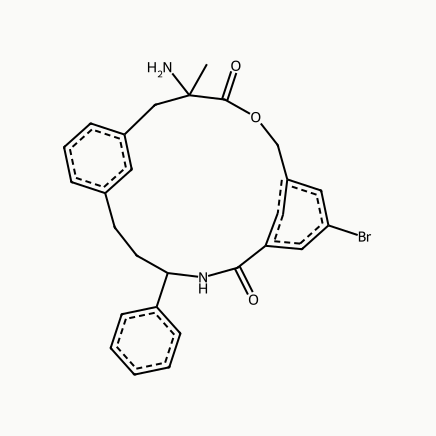 CC1(N)Cc2cccc(c2)CCC(c2ccccc2)NC(=O)c2cc(Br)cc(c2)COC1=O